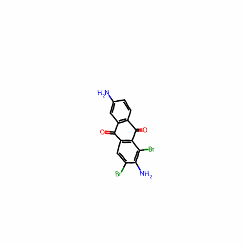 Nc1ccc2c(c1)C(=O)c1cc(Br)c(N)c(Br)c1C2=O